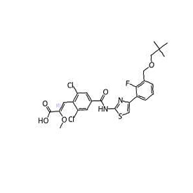 CO/C(=C\c1c(Cl)cc(C(=O)Nc2nc(-c3cccc(COCC(C)(C)C)c3F)cs2)cc1Cl)C(=O)O